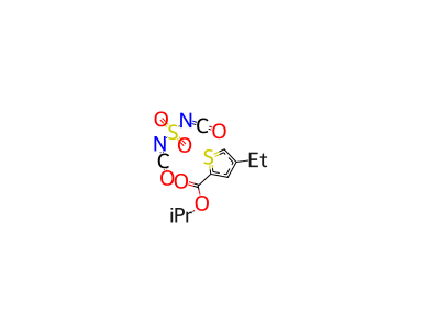 CCc1csc(C(=O)OC(C)C)c1.O=C=NS(=O)(=O)N=C=O